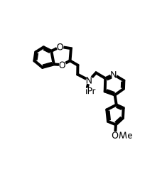 COc1ccc(-c2ccnc(CN(CCC3COc4ccccc4O3)C(C)C)c2)cc1